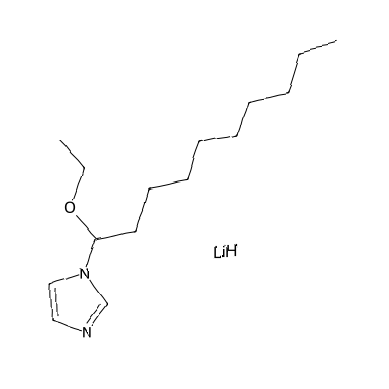 CCCCCCCCCC(OCC)n1ccnc1.[LiH]